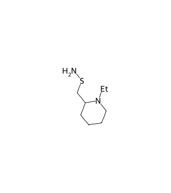 CCN1CCCCC1CSN